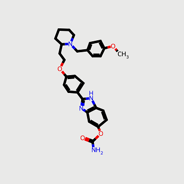 COc1ccc(CN2CCCCC2CCOc2ccc(-c3nc4cc(OC(N)=O)ccc4[nH]3)cc2)cc1